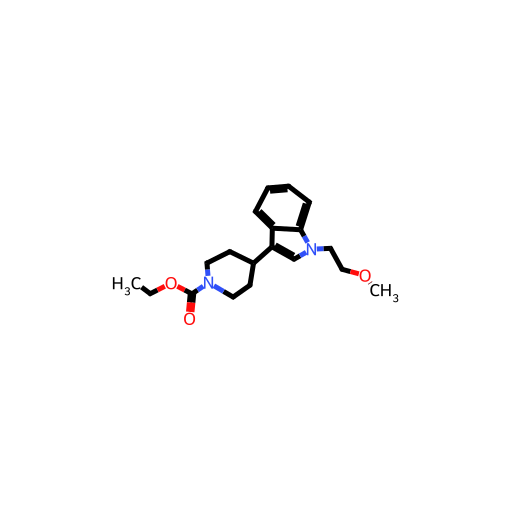 CCOC(=O)N1CCC(c2cn(CCOC)c3ccccc23)CC1